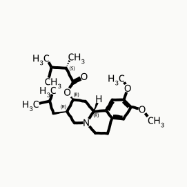 COc1cc2c(cc1OC)[C@H]1C[C@@H](OC(=O)[C@@H](C)C(C)C)[C@H](CC(C)C)CN1CC2